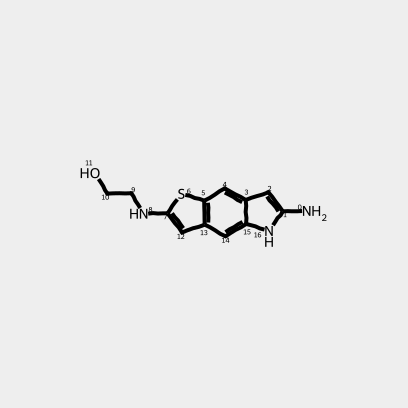 Nc1cc2cc3sc(NCCO)cc3cc2[nH]1